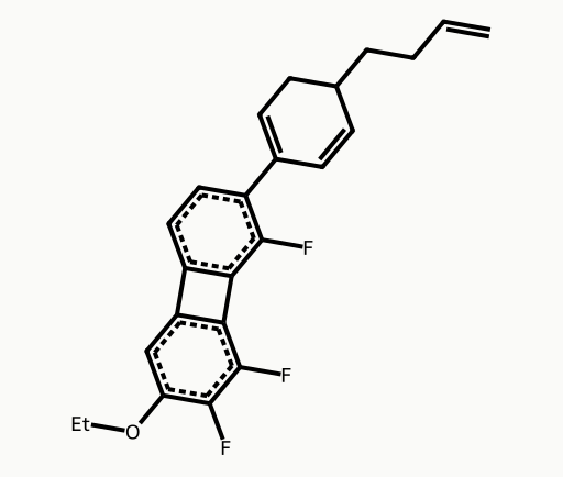 C=CCCC1C=CC(c2ccc3c(c2F)-c2c-3cc(OCC)c(F)c2F)=CC1